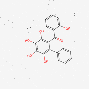 O=C(c1ccccc1O)c1c(O)c(O)c(O)c(O)c1-c1ccccc1